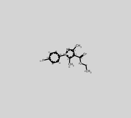 CCOC(=O)c1c(C)nn(-c2ccc(F)cc2)c1C